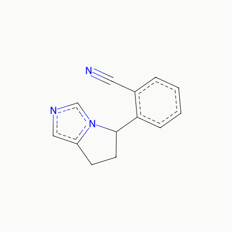 N#Cc1ccccc1C1CCc2cncn21